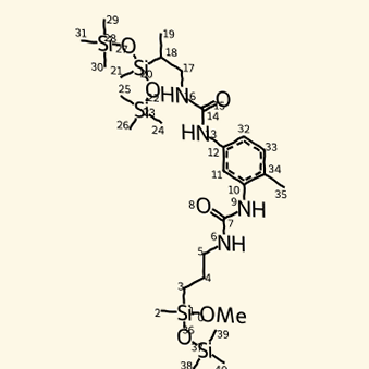 CO[Si](C)(CCCNC(=O)Nc1cc(NC(=O)NCC(C)[Si](C)(O[Si](C)(C)C)O[Si](C)(C)C)ccc1C)O[Si](C)(C)C